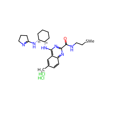 CSCCNC(=O)c1nc(N[C@H]2CCCC[C@H]2NC2=NCCC2)c2cc(C)ccc2n1.Cl.Cl